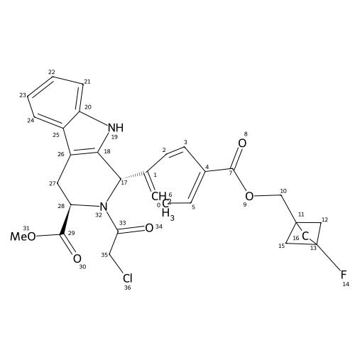 C=C(/C=C\C(=C/C)C(=O)OCC12CC(F)(C1)C2)[C@H]1c2[nH]c3ccccc3c2C[C@H](C(=O)OC)N1C(=O)CCl